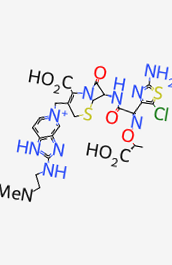 CNCCNc1nc2c[n+](CC3=C(C(=O)O)N4C(=O)[C@@H](NC(=O)/C(=N\O[C@@H](C)C(=O)O)c5nc(N)sc5Cl)C4SC3)ccc2[nH]1